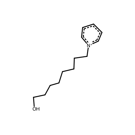 OCCCCCCCC[n+]1ccccc1